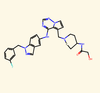 O=C(CO)NC1CCN(Cc2ccn3ncnc(Nc4ccc5c(cnn5Cc5cccc(F)c5)c4)c23)CC1